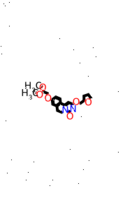 COC(COc1ccc2c(c1)CCn1c-2cc(OCC2CCCO2)nc1=O)OC